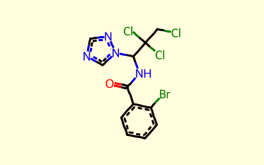 O=C(NC(n1cncn1)C(Cl)(Cl)CCl)c1ccccc1Br